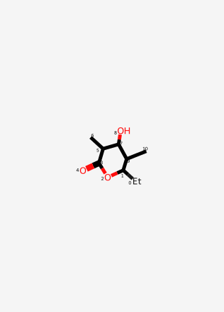 CCC1OC(=O)C(C)C(O)C1C